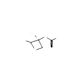 CCCC[C@@]1(NC(=O)C(=O)O)CNC1N